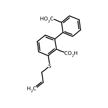 C=CCSc1cccc(-c2ccccc2C(=O)O)c1C(=O)O